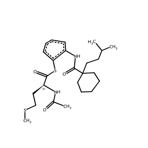 CSCC[C@H](NC(C)=O)C(=O)Sc1ccccc1NC(=O)C1(CCC(C)C)CCCCC1